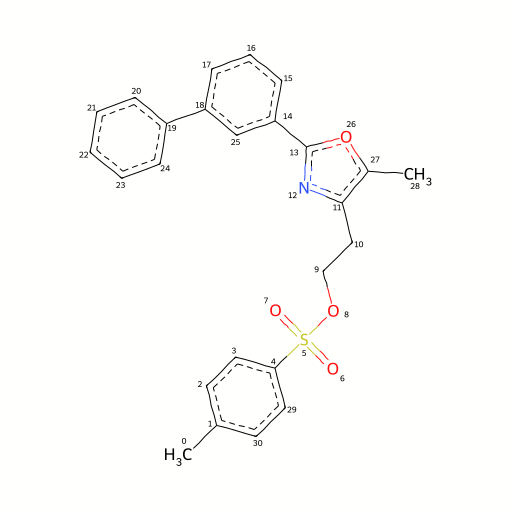 Cc1ccc(S(=O)(=O)OCCc2nc(-c3cccc(-c4ccccc4)c3)oc2C)cc1